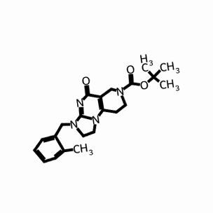 Cc1ccccc1CN1CCn2c1nc(=O)c1c2CCN(C(=O)OC(C)(C)C)C1